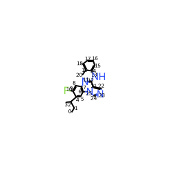 CCC(C)c1cc2c(cc1F)nc(Nc1ccccc1C)c1cncn12